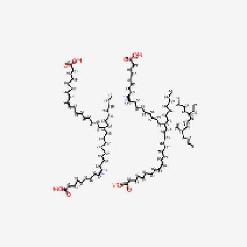 CCCCC(CC)[CH2][Ti][CH2]C(CC)CCCC.CCCCCCCC(CCCCCCCC/C=C\CCCCCCCC(=O)O)CCCCCCCC/C=C\CCCCCCCC(=O)O.CCCCCCCC(CCCCCCCC/C=C\CCCCCCCC(=O)O)CCCCCCCC/C=C\CCCCCCCC(=O)O